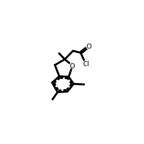 Cc1cc(C)c2c(c1)CC(C)(CC(=O)Cl)O2